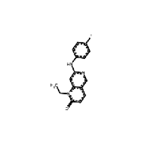 CCn1c(=O)ccc2cnc(Nc3ccc(F)cc3)cc21